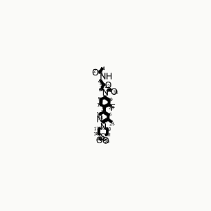 CC(=O)NCC1CN(c2ccc(-c3cnc(N4CCS(=O)(=O)CC4)c(C)c3)c(F)c2)C(=O)O1